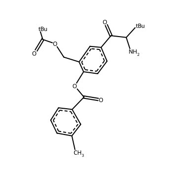 Cc1cccc(C(=O)Oc2ccc(C(=O)C(N)C(C)(C)C)cc2COC(=O)C(C)(C)C)c1